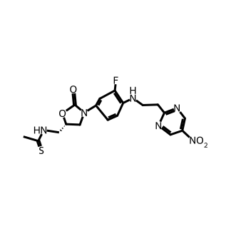 CC(=S)NC[C@H]1CN(c2ccc(NCCc3ncc([N+](=O)[O-])cn3)c(F)c2)C(=O)O1